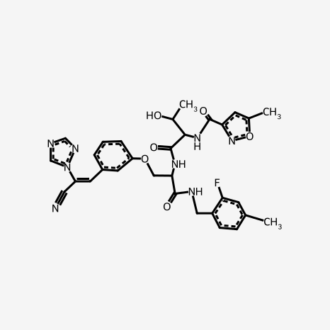 Cc1ccc(CNC(=O)C(COc2cccc(C=C(C#N)n3cncn3)c2)NC(=O)C(NC(=O)c2cc(C)on2)C(C)O)c(F)c1